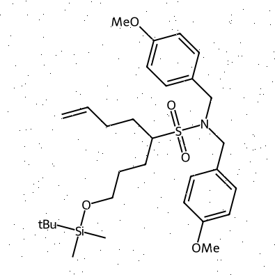 C=CCCC(CCCO[Si](C)(C)C(C)(C)C)S(=O)(=O)N(Cc1ccc(OC)cc1)Cc1ccc(OC)cc1